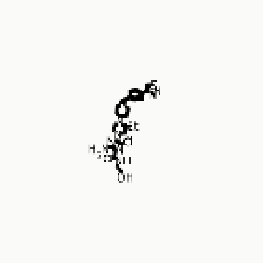 CC[C@H]1CN(c2nc(N)c(C(=O)NCCO)nc2Cl)CCN1C1CCN(Cc2ccc(-c3csnn3)cc2)CC1